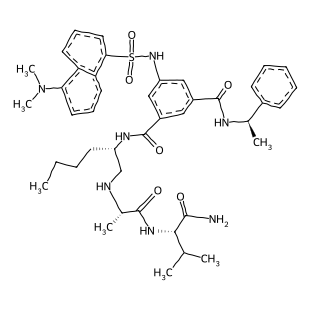 CCCC[C@@H](CN[C@@H](C)C(=O)N[C@H](C(N)=O)C(C)C)NC(=O)c1cc(NS(=O)(=O)c2cccc3c(N(C)C)cccc23)cc(C(=O)N[C@H](C)c2ccccc2)c1